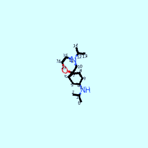 CC(C)NC1CCC2(CC1)CN(C(C)C)CCO2